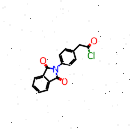 O=C(Cl)Cc1ccc(N2C(=O)c3ccccc3C2=O)cc1